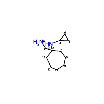 NCC1(NC2CC2)CCCCCC1